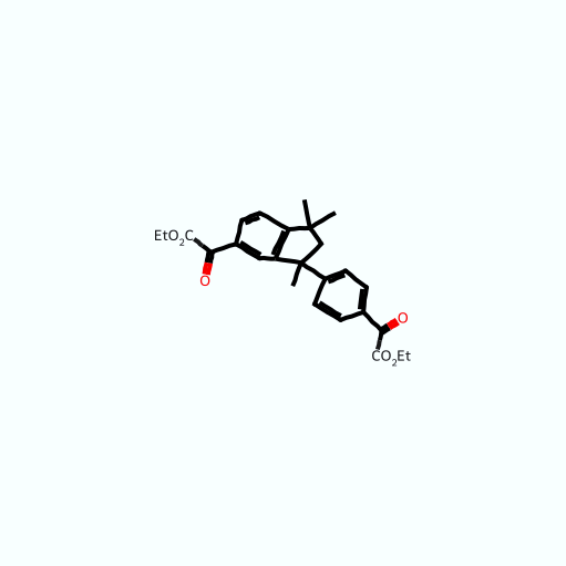 CCOC(=O)C(=O)c1ccc(C2(C)CC(C)(C)c3ccc(C(=O)C(=O)OCC)cc32)cc1